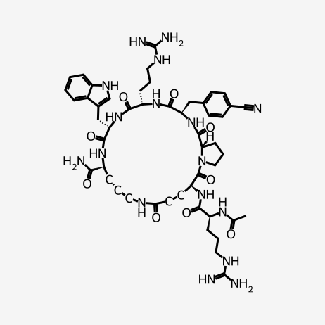 CC(=O)N[C@@H](CCCNC(=N)N)C(=O)N[C@H]1CCC(=O)NCCC[C@@H](C(N)=O)NC(=O)[C@H](Cc2c[nH]c3ccccc23)NC(=O)[C@H](CCCNC(=N)N)NC(=O)[C@@H](Cc2ccc(C#N)cc2)NC(=O)[C@@H]2CCCN2C1=O